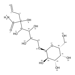 C=CCC(O)(C(N)=O)C(O)C(O)C(O)CO[C@H]1O[C@H](CO)[C@H](O)[C@H](O)[C@H]1O